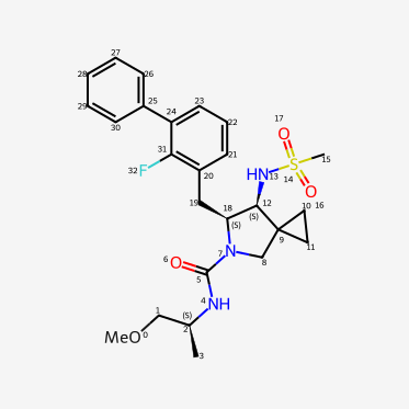 COC[C@H](C)NC(=O)N1CC2(CC2)[C@H](NS(C)(=O)=O)[C@@H]1Cc1cccc(-c2ccccc2)c1F